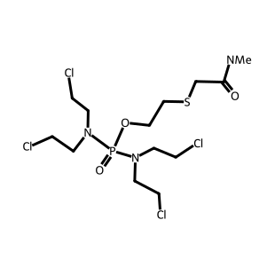 CNC(=O)CSCCOP(=O)(N(CCCl)CCCl)N(CCCl)CCCl